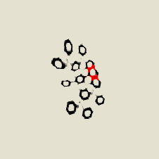 c1ccc(-c2c3c(c(-c4ccccc4)c4c2Sc2cc(N(c5ccccc5)c5ccccc5)cc5c2B4c2ccccc2N5c2ccccc2)B2c4ccccc4N(c4ccccc4)c4cc(N(c5ccccc5)c5ccccc5)cc(c42)S3)cc1